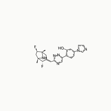 C[C@]12C/C(=C\c3ncc(-c4ccc(-n5ccnc5)cc4O)nn3)[C@H](F)[C@](C)(C[C@H]1F)N2